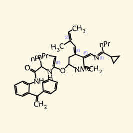 C=CC(=C\N=C(/CCC)C1CC1)/C(=C/C(C)=C\C)CC(NC)O/C(=C/CCC)NC(CCC)C(=O)Nc1ccccc1C(=C)c1ccccc1